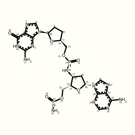 Nc1nc2c(ncn2[C@H]2CC[C@@H](CO[PH](=O)N[C@H]3C[C@H](n4cnc5c(N)ncnc54)O[C@@H]3CO[PH](N)=O)O2)c(=O)[nH]1